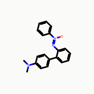 CN(C)c1ccc(-c2ccccc2N=[N+]([O-])c2ccccc2)cc1